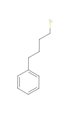 [S]CCCCc1ccccc1